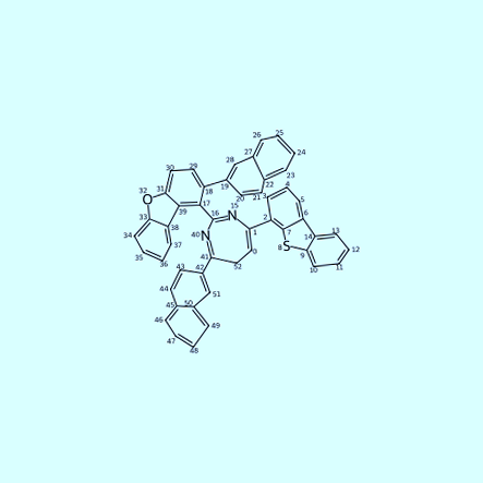 C1=C(c2cccc3c2sc2ccccc23)N=C(c2c(-c3ccc4ccccc4c3)ccc3oc4ccccc4c23)N=C(c2ccc3ccccc3c2)C1